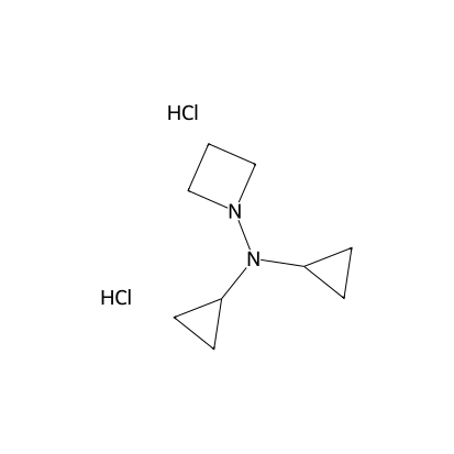 C1CN(N(C2CC2)C2CC2)C1.Cl.Cl